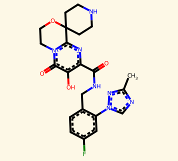 Cc1ncn(-c2cc(F)ccc2CNC(=O)c2nc3n(c(=O)c2O)CCOC32CCNCC2)n1